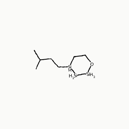 CC(C)CC[SiH]1CCO[SiH2][SiH2]1